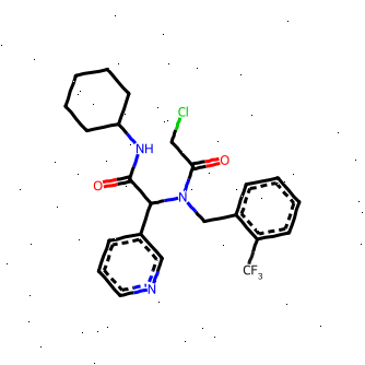 O=C(NC1CCCCC1)C(c1cccnc1)N(Cc1ccccc1C(F)(F)F)C(=O)CCl